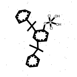 CC(C)(c1ccccc1)c1ccc(OP(O)(O)(Cl)Cl)c(C(C)(C)c2ccccc2)c1